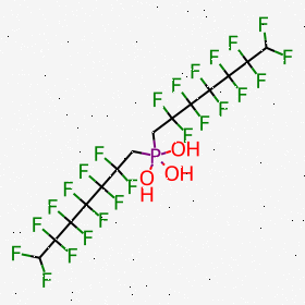 OP(O)(O)(CC(F)(F)C(F)(F)C(F)(F)C(F)(F)C(F)(F)C(F)F)CC(F)(F)C(F)(F)C(F)(F)C(F)(F)C(F)(F)C(F)F